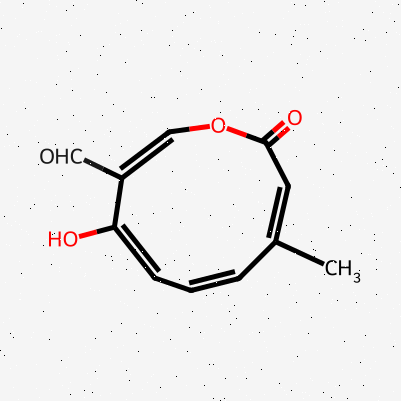 Cc1cccc(O)c(C=O)coc(=O)c1